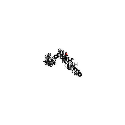 C#CCOc1cc(OC2O[C@H](C(=O)OC)[C@@H](OC(C)=O)[C@H](OC(C)=O)[C@H]2OC(C)=O)ccc1COC(=O)N(C)[C@H](C(=O)N[C@H](C(=O)N(C)[C@@H](C(C)CC)[C@@H](CC(=O)N1CCC[C@H]1[C@H](OC)[C@@H](C)C(=O)NC(Cc1ccccc1)C(=O)NC)OC)C(C)C)C(C)C